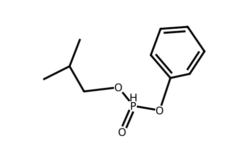 CC(C)CO[PH](=O)Oc1ccccc1